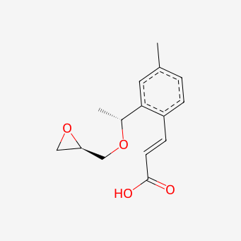 Cc1ccc(C=CC(=O)O)c([C@@H](C)OC[C@H]2CO2)c1